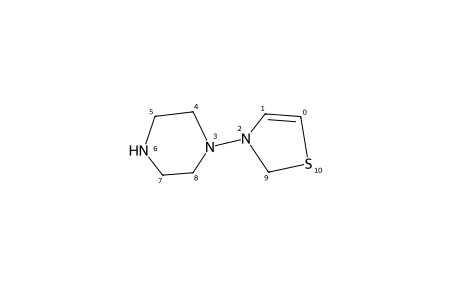 C1=CN(N2CCNCC2)CS1